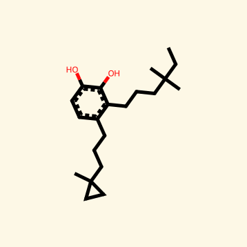 CCC(C)(C)CCCc1c(CCCC2(C)CC2)ccc(O)c1O